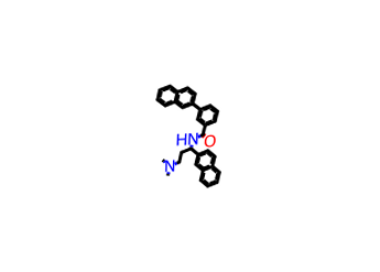 CN(C)CCC(NC(=O)c1cccc(-c2ccc3ccccc3c2)c1)c1ccc2ccccc2c1